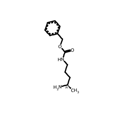 C[C@@H](N)CCCNC(=O)OCc1ccccc1